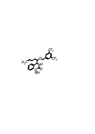 C=CCCC(OCc1cc(C(F)(F)F)cc(C(F)(F)F)c1)C(NC(=O)OC(C)(C)C)c1ccccc1